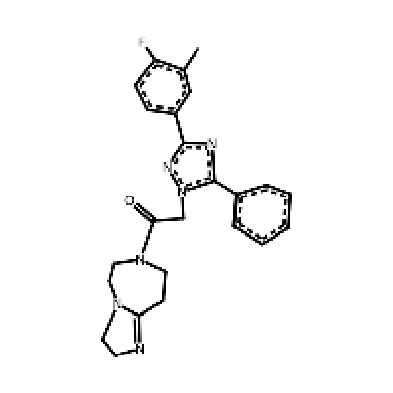 Cc1cc(-c2nc(-c3ccccc3)n(CC(=O)N3CCC4=NCCN4CC3)n2)ccc1F